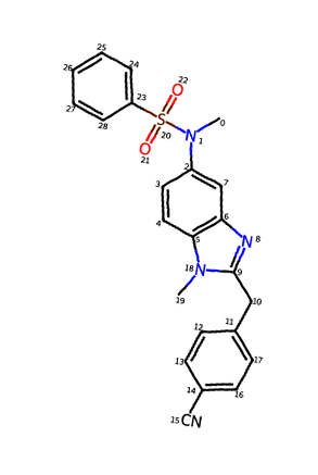 CN(c1ccc2c(c1)nc(Cc1ccc(C#N)cc1)n2C)S(=O)(=O)c1ccccc1